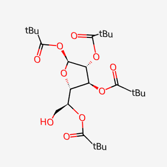 CC(C)(C)C(=O)O[C@@H]1O[C@@H]([C@H](CO)OC(=O)C(C)(C)C)[C@H](OC(=O)C(C)(C)C)[C@H]1OC(=O)C(C)(C)C